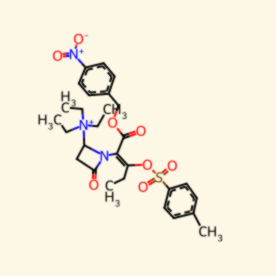 CCC(OS(=O)(=O)c1ccc(C)cc1)=C(C(=O)OCc1ccc([N+](=O)[O-])cc1)N1C(=O)CC1[N+](CC)(CC)CC